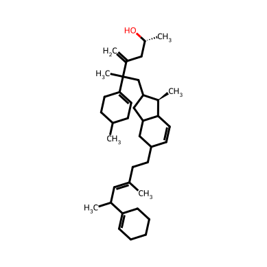 C=C(C[C@@H](C)O)C(C)(CC1CC2CC(CC/C(C)=C/C(C)C3=CCCCC3)C=CC2[C@@H]1C)C1=CCC(C)CC1